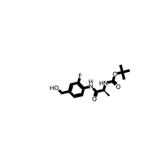 C[C@H](NC(=O)OC(C)(C)C)C(=O)Nc1ccc(CO)cc1F